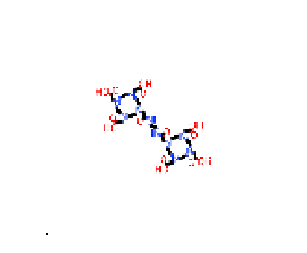 O=C(O)CN1CCN(CC(=O)O)CCN(CC(=O)NCCNC(=O)CN2CCN(CC(=O)O)CCN(CC(=O)O)CCN(CC(=O)O)CC2)CCN(CC(=O)O)CC1